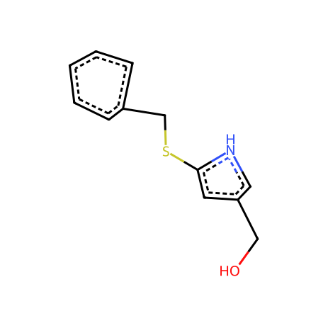 OCc1c[nH]c(SCc2ccccc2)c1